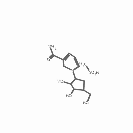 CS(=O)(=O)O.NC(=O)C1=CC=CN(C2CC(CO)C(O)C2O)C1